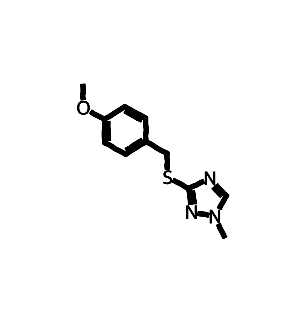 COc1ccc(CSc2ncn(C)n2)cc1